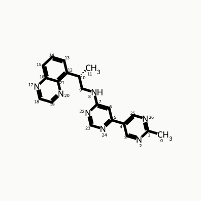 Cc1ncc(-c2cc(NC[C@@H](C)c3cccc4nccnc34)ncn2)cn1